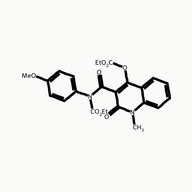 CCOC(=O)Oc1c(C(=O)N(C(=O)OCC)c2ccc(OC)cc2)c(=O)n(C)c2ccccc12